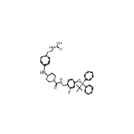 CC(C)(C)[Si](Oc1ccc(CNC(=O)N2CCC(Nc3ccc(CCNC(=O)O)cc3)CC2)c(F)c1)(c1ccccc1)c1ccccc1